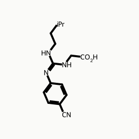 CC(C)CCNC(=Nc1ccc(C#N)cc1)NCC(=O)O